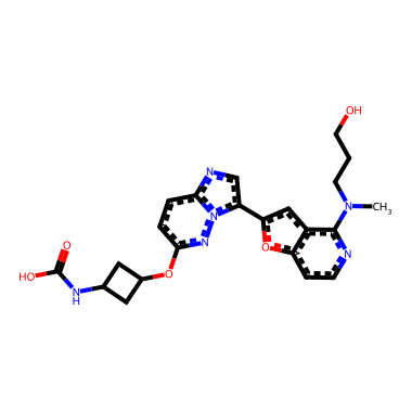 CN(CCCO)c1nccc2oc(-c3cnc4ccc(OC5CC(NC(=O)O)C5)nn34)cc12